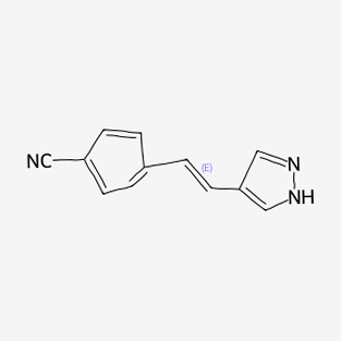 N#Cc1ccc(/C=C/c2cn[nH]c2)cc1